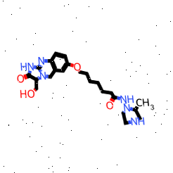 CC1CNCCN1NC(=O)CCCCCCOc1ccc2c(c1)CN1C(=N2)NC(=O)C1CO